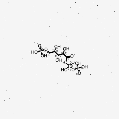 O=C(OP(=O)(O)OP(=O)(O)O)[C@H](O)[C@H](O)[C@H](O)COP(=O)(O)O